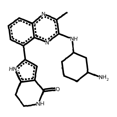 Cc1nc2cccc(-c3cc4c([nH]3)CCNC4=O)c2nc1NC1CCCC(N)C1